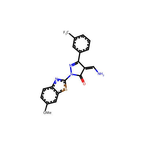 COc1ccc2nc(N3N=C(c4cccc(C(F)(F)F)c4)C(=CN)C3=O)sc2c1